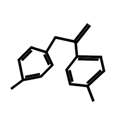 C=C(Cc1ccc(C)cc1)c1ccc(C)cc1